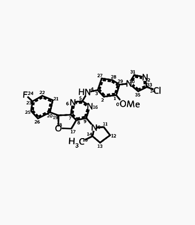 COc1cc(Nc2nc3c(c(N4CCCC4C)n2)COC3c2ccc(F)cc2)ccc1-n1cnc(Cl)c1